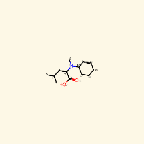 CC(C)CC(C(=O)O)N(C)C1C=CCCC1